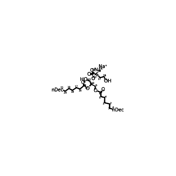 CCCCCCCCCCCCCCCC(=O)OC[C@H](CO)OC(=O)CCCCCCCCCCCCCCC.O=P([O-])([O-])SCCO.[Na+].[Na+]